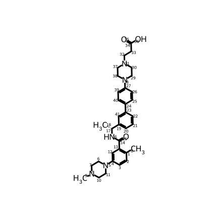 Cc1ccc(N2CCN(C)CC2)cc1C(=O)N[C@H](C)c1cccc(-c2ccc(N3CCN(CCC(=O)O)CC3)cc2)c1